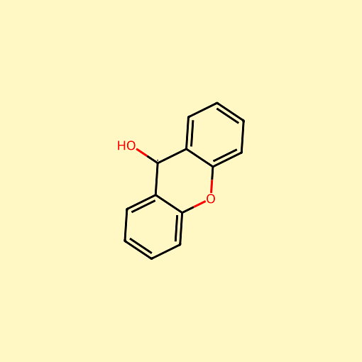 O[C]1c2ccccc2Oc2ccccc21